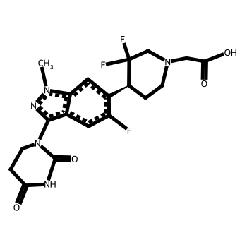 Cn1nc(N2CCC(=O)NC2=O)c2cc(F)c([C@@H]3CCN(CC(=O)O)CC3(F)F)cc21